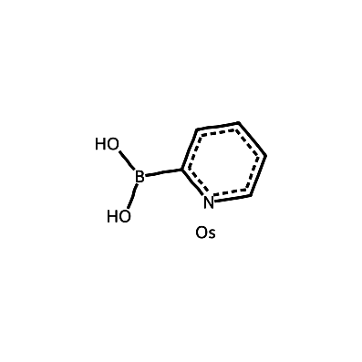 OB(O)c1ccccn1.[Os]